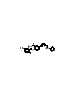 Cc1ccc(N)cc1C(=O)N[C@H](C)c1cccc(-c2ccc(CNC3CCCC3)s2)c1